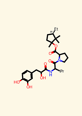 CC[C@@H]1CCC(C)(OC(=O)C2CCCN2C(=O)C(NC(=O)C(O)Cc2ccc(O)c(O)c2)C(C)C)C1(C)C